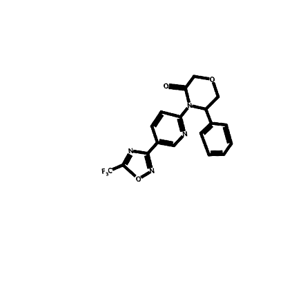 O=C1COCC(c2ccccc2)N1c1ccc(-c2noc(C(F)(F)F)n2)cn1